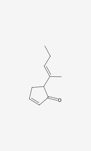 CCC=C(C)C1CC=CC1=O